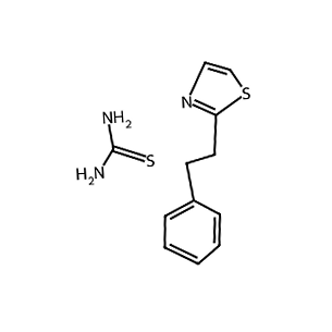 NC(N)=S.c1ccc(CCc2nccs2)cc1